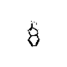 NC1=NC2C=CC=CC2O1